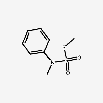 CSS(=O)(=O)N(C)c1ccccc1